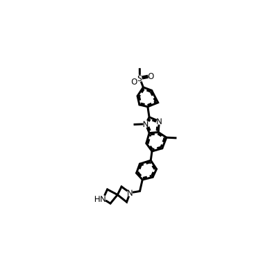 Cc1cc(-c2ccc(CN3CC4(CNC4)C3)cc2)cc2c1nc(-c1ccc(S(C)(=O)=O)cc1)n2C